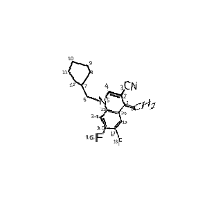 C=C1C(C#N)=CN(CC2CCCCC2)c2cc(F)c(F)cc21